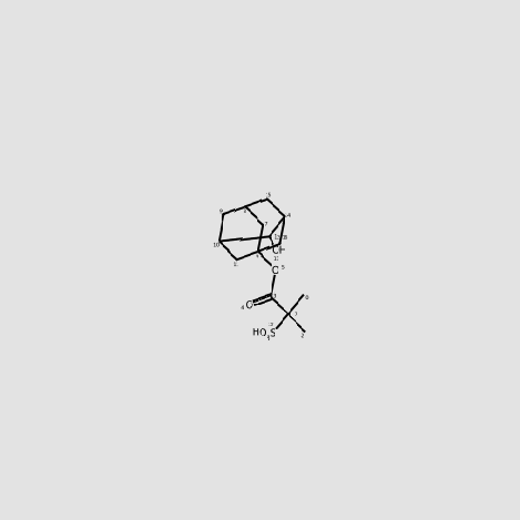 CC(C)(C(=O)OC12CC3CC(C1)C(O)C(C3)C2)S(=O)(=O)O